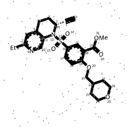 C#C[C@H]1CCc2cc(CC)ncc2N1S(=O)(=O)c1ccc(OCC2CCOCC2)c(C(=O)OC)c1